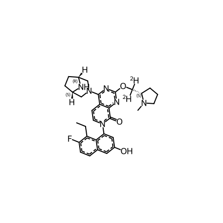 [2H]C([2H])(Oc1nc(N2C[C@H]3CC[C@@H](C2)N3)c2ccn(-c3cc(O)cc4ccc(F)c(CC)c34)c(=O)c2n1)[C@@H]1CCCN1C